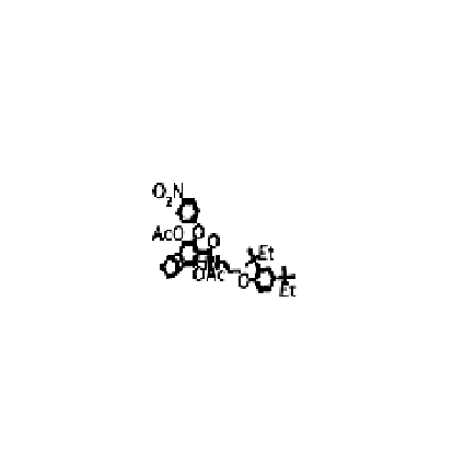 CCC(C)(C)c1ccc(OCCCNC(=O)c2c(Oc3ccc([N+](=O)[O-])cc3)c(OC(C)=O)c3c(c2OC(C)=O)C2CCC3C2)c(C(C)(C)CC)c1